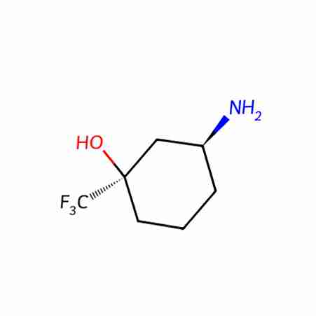 N[C@H]1CCC[C@](O)(C(F)(F)F)C1